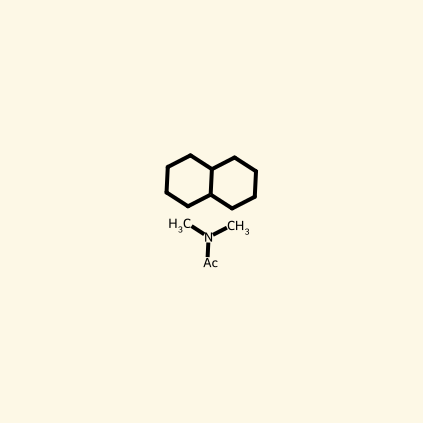 C1CCC2CCCCC2C1.CC(=O)N(C)C